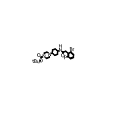 CC(C)(C)OC(=O)N1CCN(C2CCC(NC(=O)Cc3c(F)cccc3Br)CC2)CC1